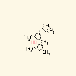 CCC(C)Cc1ccc(Bc2c(C)cc(C)cc2C)c(C)c1